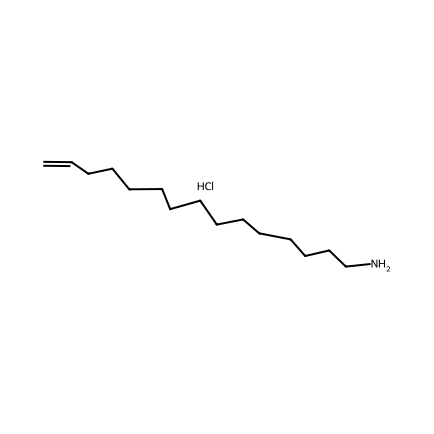 C=CCCCCCCCCCCCCCN.Cl